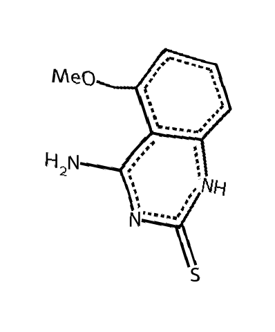 COc1cccc2[nH]c(=S)nc(N)c12